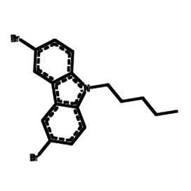 CCCCCn1c2ccc(Br)cc2c2cc(Br)ccc21